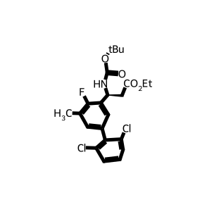 CCOC(=O)C[C@H](NC(=O)OC(C)(C)C)c1cc(-c2c(Cl)cccc2Cl)cc(C)c1F